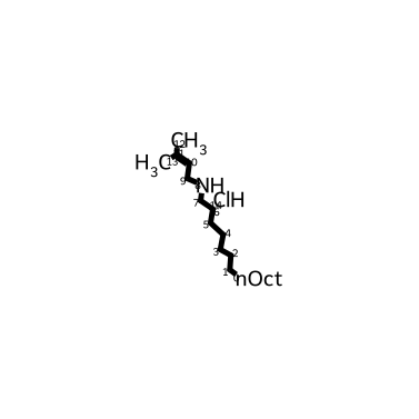 CCCCCCCCCCCCCCCNCC=C(C)C.Cl